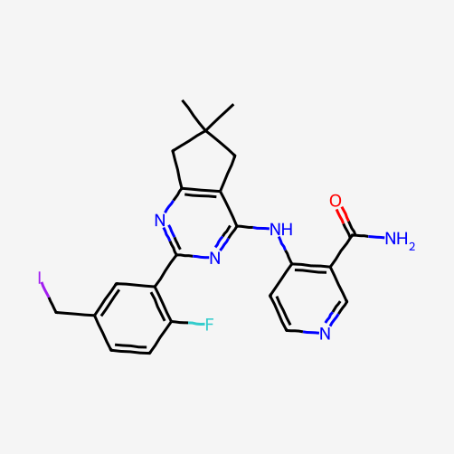 CC1(C)Cc2nc(-c3cc(CI)ccc3F)nc(Nc3ccncc3C(N)=O)c2C1